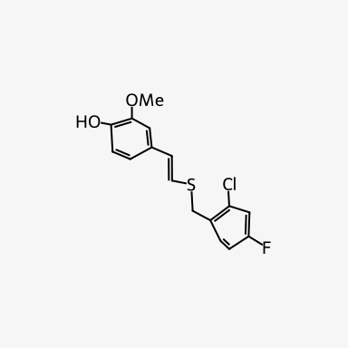 COc1cc(C=CSCc2ccc(F)cc2Cl)ccc1O